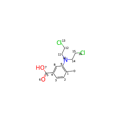 Cc1ccc(C(=O)O)cc1N(CCCl)CCCl